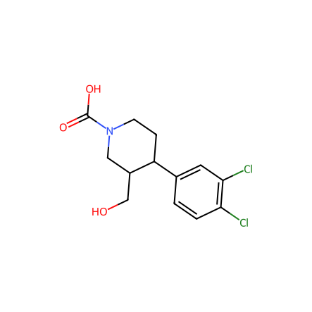 O=C(O)N1CCC(c2ccc(Cl)c(Cl)c2)C(CO)C1